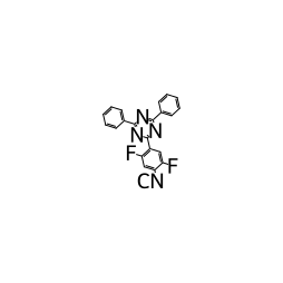 N#Cc1cc(F)c(-c2nc(-c3ccccc3)nc(-c3ccccc3)n2)cc1F